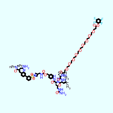 CCCN(CCC)C(=O)C1=Cc2ccc(-c3cccc(S(=O)(=O)N4CC(CNC(=O)OCc5ccc(NC(=O)[C@H](CCCNC(N)=O)NC(=O)C(C=C(C)C)NC(=O)[C@H](CS(=O)(=O)O)NC(=O)CCOCCOCCOCCOCCOCCOCCOCCOCCOCCC(=O)Oc6c(F)c(F)cc(F)c6F)cc5)C4)c3)cc2N=C(N)C1